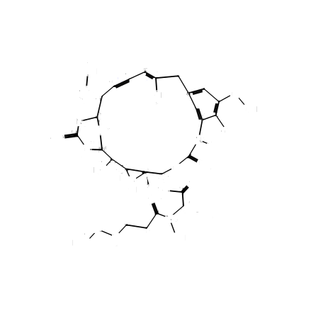 COc1cc2cc(c1Cl)N(C)C(=O)C[C@H](OC(=O)[C@H](C)N(C)C(=O)CCSSC)[C@]1(C)O[C@H]1C(C)[C@@H]1C[C@@](O)(NC(=O)O1)[C@H](OC)/C=C/C=C(\C)C2